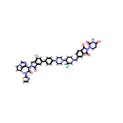 O=C1CCN(N2C(=O)c3ccc(CN4CCC(N5CCN(c6ccc(-c7cc(F)c8c(c7)C(=O)N(C(C(=O)Nc7nccs7)c7ncn9c7CCC9)C8)cc6)CC5)C(F)(F)C4)cc3C2=O)C(=O)N1